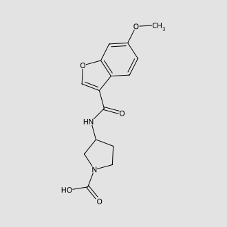 COc1ccc2c(C(=O)NC3CCN(C(=O)O)C3)coc2c1